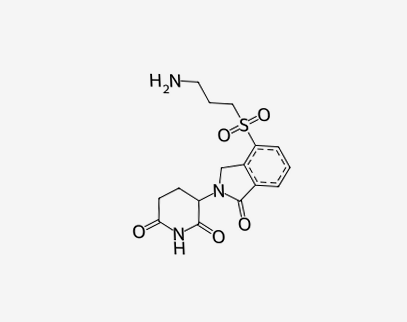 NCCCS(=O)(=O)c1cccc2c1CN(C1CCC(=O)NC1=O)C2=O